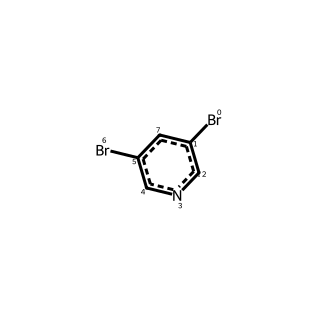 Brc1[c]ncc(Br)c1